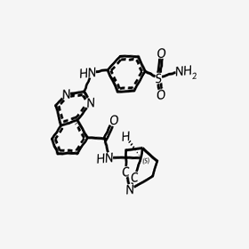 NS(=O)(=O)c1ccc(Nc2ncc3cccc(C(=O)N[C@@H]4CN5CCC4CC5)c3n2)cc1